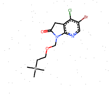 C[Si](C)(C)CCOCN1C(=O)Cc2c1ncc(Br)c2Cl